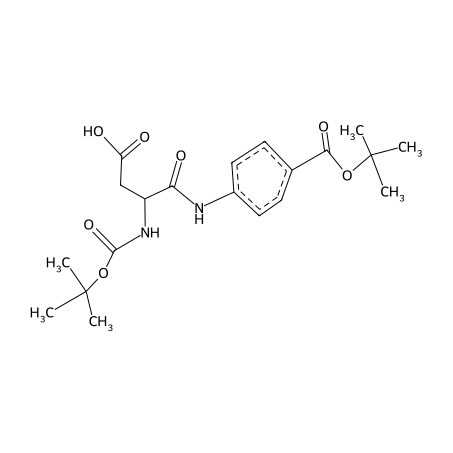 CC(C)(C)OC(=O)NC(CC(=O)O)C(=O)Nc1ccc(C(=O)OC(C)(C)C)cc1